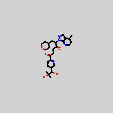 Cc1ccnc2c1cnn2C(CC1CCOCC1)C(=O)CCC(=O)c1ccc(C(O)C(C)(C)O)cn1